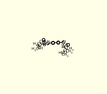 CNC(=O)C[C@H](C(=O)N1C2CCC(C2)[C@H]1c1nc(-c2ccc(-c3ccc(-c4cnc([C@@H]5C6CCC(C6)N5C(=O)[C@@H](CC(=O)NC)C(C)C)[nH]4)cc3)cc2)c[nH]1)C(C)C